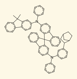 CC1(C)c2ccccc2-c2ccc(N(c3ccccc3)c3ccc4c(c3)C3(c5ccccc5-c5ccc(N(c6ccccc6)c6cccc(C7CC8CCC7C8)c6)cc53)c3ccccc3-4)cc21